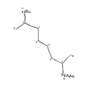 CCCCC(C)CCCCC(C)NC